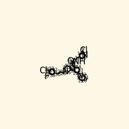 O=C(NCc1ccnc(Cl)c1)n1c2c(c3cc(N4CCCSC4)ccc31)CN(C/C=C/c1ccc(Cl)c(F)c1)CC2